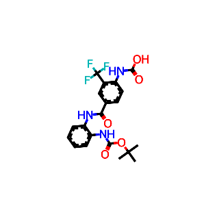 CC(C)(C)OC(=O)Nc1ccccc1NC(=O)c1ccc(NC(=O)O)c(C(F)(F)F)c1